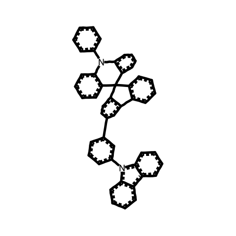 c1ccc(N2c3ccccc3C3(c4ccccc4-c4cc(-c5cccc(-n6c7ccccc7c7ccccc76)c5)ccc43)c3ccccc32)cc1